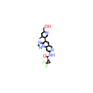 Cc1cc(CO)ncc1-c1cc2cnc(NC(=O)[C@H]3CC3(F)F)cc2n2ncnc12